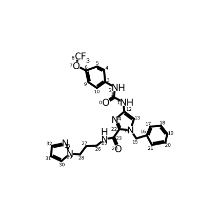 O=C(Nc1ccc(OC(F)(F)F)cc1)Nc1cn(Cc2ccccc2)c(C(=O)NCCCn2cccn2)n1